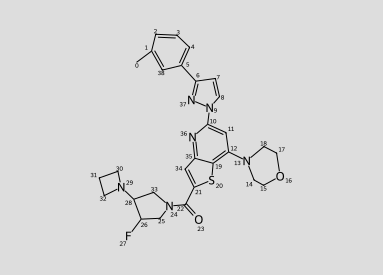 Cc1cccc(-c2ccn(-c3cc(N4CCOCC4)c4sc(C(=O)N5CC(F)C(N6CCC6)C5)cc4n3)n2)c1